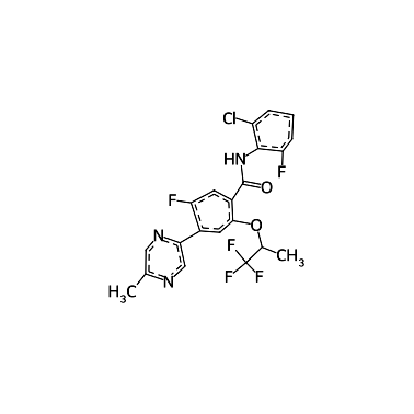 Cc1cnc(-c2cc(OC(C)C(F)(F)F)c(C(=O)Nc3c(F)cccc3Cl)cc2F)cn1